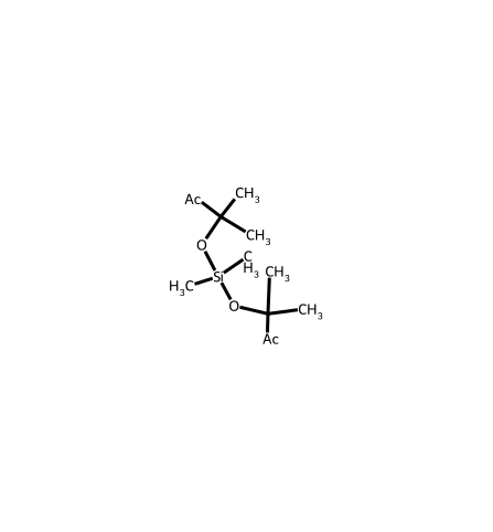 CC(=O)C(C)(C)O[Si](C)(C)OC(C)(C)C(C)=O